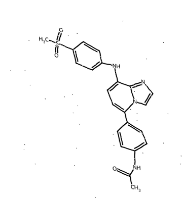 CC(=O)Nc1ccc(-c2ccc(Nc3ccc(S(C)(=O)=O)cc3)c3nccn23)cc1